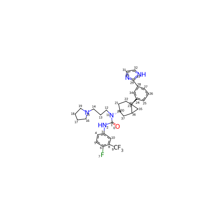 O=C(Nc1ccc(F)c(C(F)(F)F)c1)N(CCCN1CCCC1)[C@@H]1CC[C@]2(c3cccc(-c4ncc[nH]4)c3)CC2C1